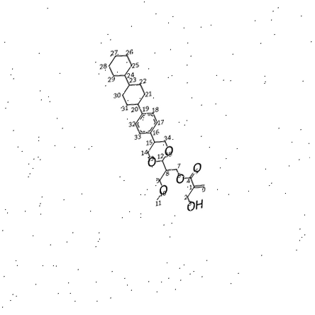 C=C(CO)C(=O)OCC(COC)C1OCC(c2ccc(C3CCC(C4CCCCC4)CC3)cc2)CO1